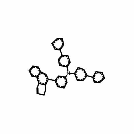 C1=Cc2c(c(-c3cccc(N(c4ccc(-c5ccccc5)cc4)c4ccc(-c5ccccc5)cc4)c3)cc3ccccc23)CC1